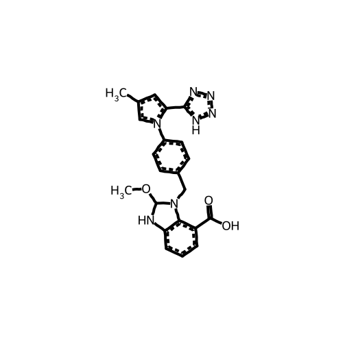 COC1Nc2cccc(C(=O)O)c2N1Cc1ccc(-n2cc(C)cc2-c2nnn[nH]2)cc1